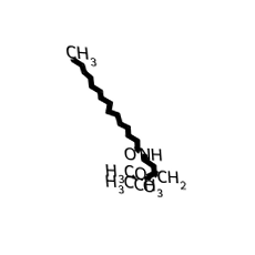 C=C(CCNC(=O)CCCCCCCCCCCCCCC)C(=O)OC(C)(C)C